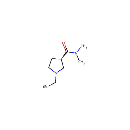 CN(C)C(=O)[C@@H]1CCN(CC(C)(C)C)C1